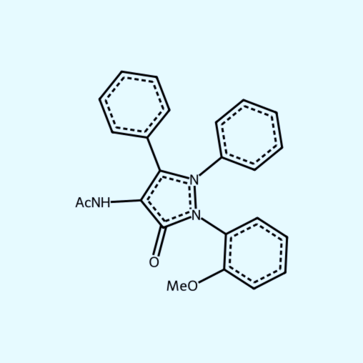 COc1ccccc1-n1c(=O)c(NC(C)=O)c(-c2ccccc2)n1-c1ccccc1